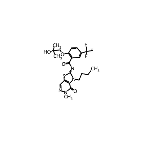 CCCCn1/c(=N/C(=O)c2cc(C(F)(F)F)ccc2OCC(C)(C)O)sc2cnn(C)c(=O)c21